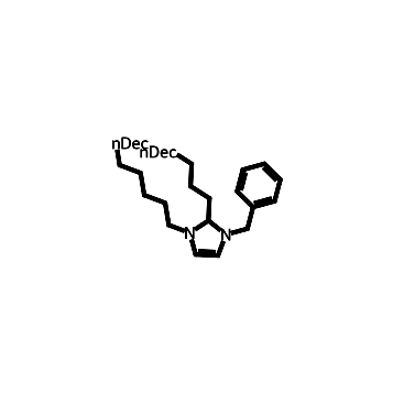 CCCCCCCCCCCCCCCN1C=CN(Cc2ccccc2)C1CCCCCCCCCCCCC